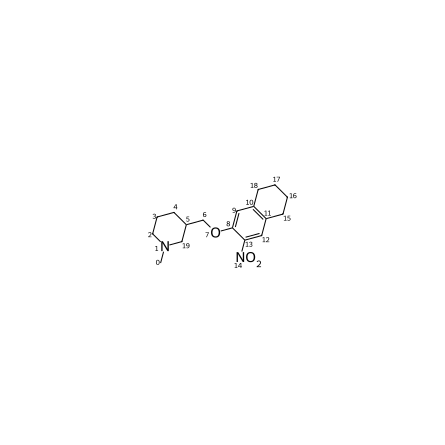 CN1CCCC(COc2cc3c(cc2[N+](=O)[O-])CCCC3)C1